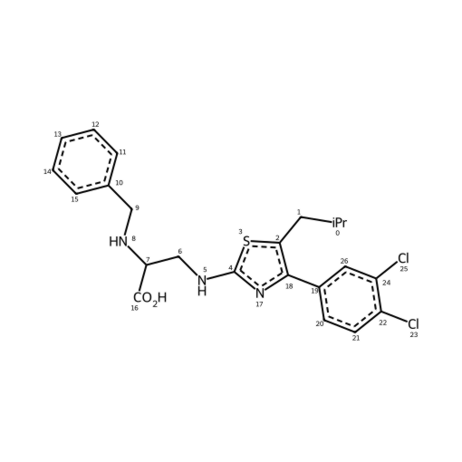 CC(C)Cc1sc(NCC(NCc2ccccc2)C(=O)O)nc1-c1ccc(Cl)c(Cl)c1